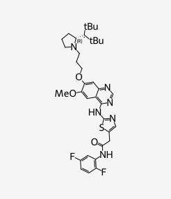 COc1cc2c(Nc3ncc(CC(=O)Nc4cc(F)ccc4F)s3)ncnc2cc1OCCCN1CCC[C@@H]1[C](C(C)(C)C)C(C)(C)C